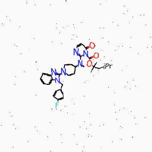 CC(C)CC(C)(C)OC(=O)n1c(N(C)C2CCN(c3nc4ccccc4n3Cc3ccc(F)cc3)CC2)nccc1=O